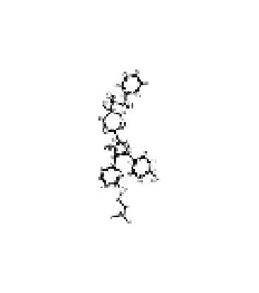 CN(C)CCOc1nccc(-c2[nH]c(C3OCC(C)(C(=O)Nc4ccccc4)CO3)nc2-c2ccc(F)cc2)n1